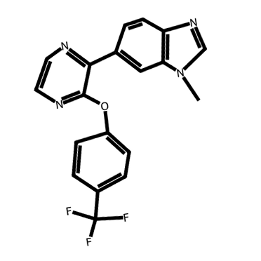 Cn1cnc2ccc(-c3nccnc3Oc3ccc(C(F)(F)F)cc3)cc21